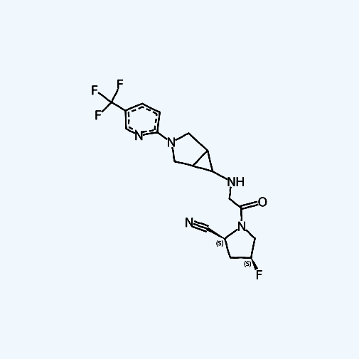 N#C[C@@H]1C[C@H](F)CN1C(=O)CNC1C2CN(c3ccc(C(F)(F)F)cn3)CC21